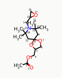 CC(=O)OCC1COC2(CC(C)(C)N(CC3CO3)C(C)(C)C2)O1